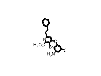 COc1nc(CCc2ccccc2)cc(Oc2cc(N)cc(Cl)c2)c1Br